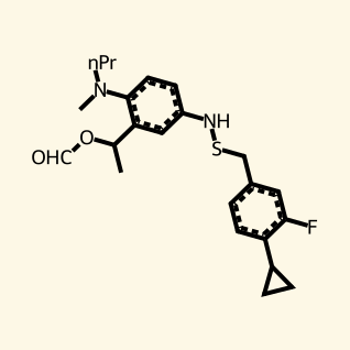 CCCN(C)c1ccc(NSCc2ccc(C3CC3)c(F)c2)cc1C(C)OC=O